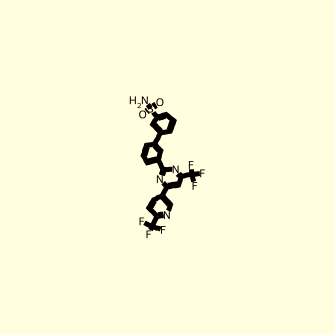 NS(=O)(=O)c1cccc(-c2cccc(-c3nc(-c4ccc(C(F)(F)F)nc4)cc(C(F)(F)F)n3)c2)c1